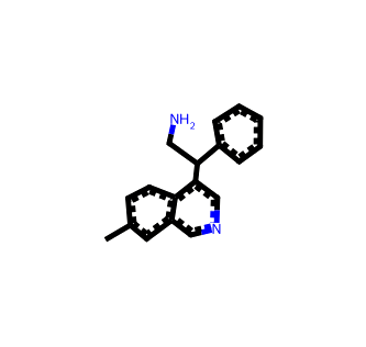 Cc1ccc2c(C(CN)c3ccccc3)cncc2c1